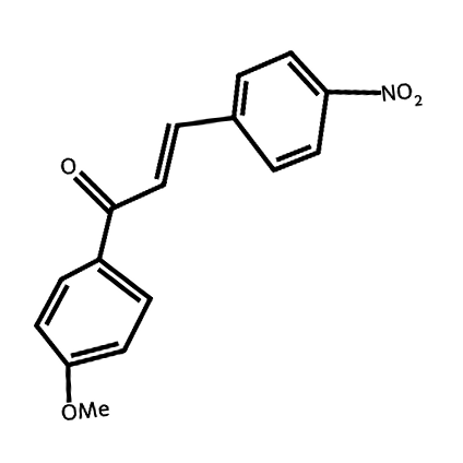 COc1ccc(C(=O)C=Cc2ccc([N+](=O)[O-])cc2)cc1